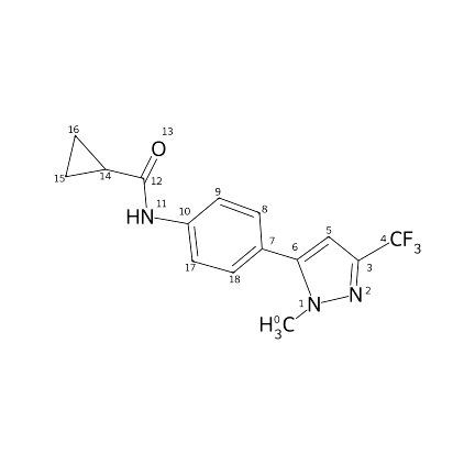 Cn1nc(C(F)(F)F)cc1-c1ccc(NC(=O)C2CC2)cc1